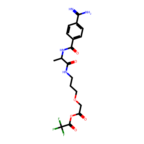 CC(NC(=O)c1ccc(C(=N)N)cc1)C(=O)NCCCOCC(=O)OC(=O)C(F)(F)F